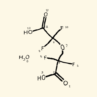 O.O=C(O)C(F)(F)OC(F)(F)C(=O)O